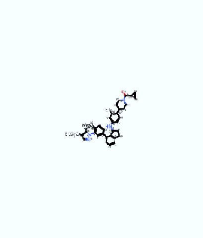 CCOC(=O)c1cnn(-c2cc(-c3cccc4c3C(Nc3ccc(C5CCN(C(=O)C6CC6)CC5)c(CC)c3)CC4)ccc2OC)c1OC